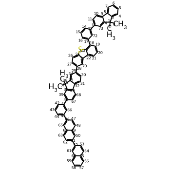 CC1(C)c2ccccc2-c2ccc(-c3cccc(-c4cccc5c4sc4ccc(-c6ccc7c(c6)C(C)(C)c6cc(-c8cccc(-c9ccc%10cc(-c%11ccc%12ccccc%12c%11)ccc%10c9)c8)ccc6-7)cc45)c3)cc21